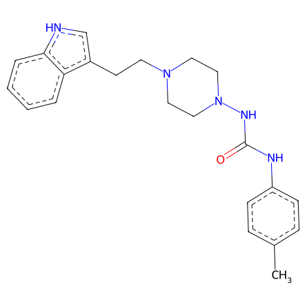 Cc1ccc(NC(=O)NN2CCN(CCc3c[nH]c4ccccc34)CC2)cc1